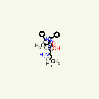 CC(C)CC(N)CCN(C(=O)O)[C@@H](c1nc(-c2ccccc2)cn1Cc1ccccc1)C(C)(C)C